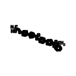 CCC1(OC(=O)c2ccc(-c3ccc(OC(=O)c4ccc(-c5ccc(OCC(C)O)cc5)cc4)cc3)cc2)CCCCC1